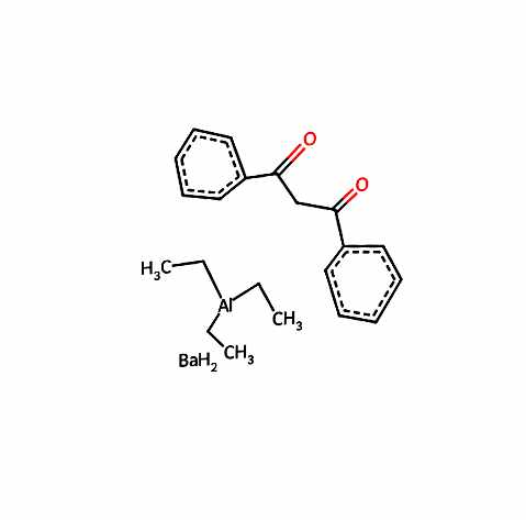 C[CH2][Al]([CH2]C)[CH2]C.O=C(CC(=O)c1ccccc1)c1ccccc1.[BaH2]